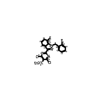 CCOC(=O)c1c(Cl)nc(-c2nn(Cc3ccccc3F)c3c(F)cccc23)nc1Cl